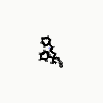 CC(C)C(C/C=C/c1ccccc1)(N=C=O)c1ccccc1